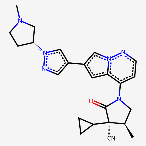 C[C@@H]1CN(c2ccnn3cc(-c4cnn([C@@H]5CCN(C)C5)c4)cc23)C(=O)[C@]1(C#N)C1CC1